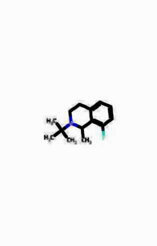 CC1c2c(F)cccc2CCN1C(C)(C)C